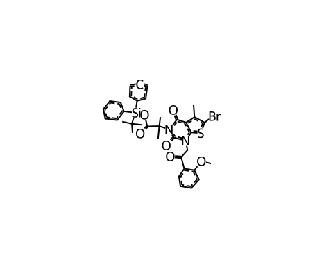 COc1ccccc1C(=O)Cn1c(=O)n(C(C)(C)C(=O)O[Si](c2ccccc2)(c2ccccc2)C(C)(C)C)c(=O)c2c(C)c(Br)sc21